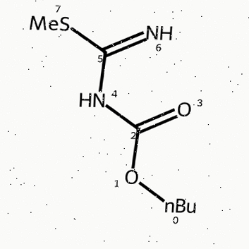 CCCCOC(=O)NC(=N)SC